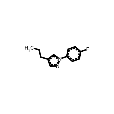 CCCc1cnn(-c2ccc(F)cc2)c1